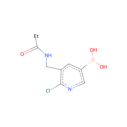 CCC(=O)NCc1cc(B(O)O)cnc1Cl